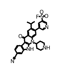 CC(C)c1cc2c(=O)c3c4ccc(C#N)cc4[nH]c3n(C3CCNCC3)c2cc1-c1cncc(S(=O)(=O)F)c1